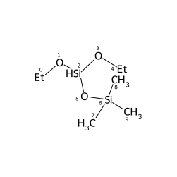 CCO[SiH](OCC)O[Si](C)(C)C